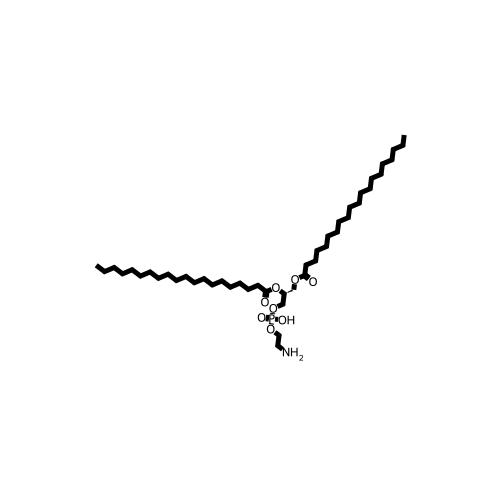 CCCCCCCCCCCCCCCCCCCC(=O)OC[C@H](COP(=O)(O)OCCN)OC(=O)CCCCCCCCCCCCCCCCCCC